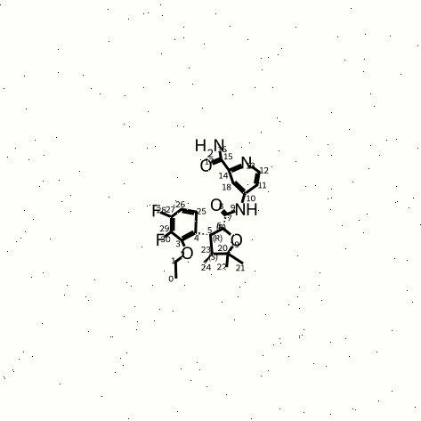 CCOc1c([C@@H]2[C@H](C(=O)Nc3ccnc(C(N)=O)c3)OC(C)(C)[C@H]2C)ccc(F)c1F